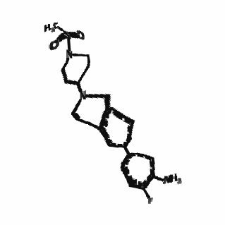 CS(=O)(=O)N1CCC(N2C=Cc3cc(-c4ccc(F)c(N)c4)ccc3C2)CC1